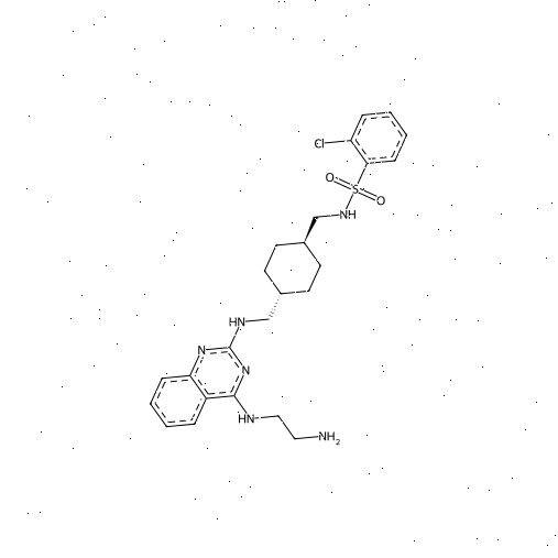 NCCNc1nc(NC[C@H]2CC[C@H](CNS(=O)(=O)c3ccccc3Cl)CC2)nc2ccccc12